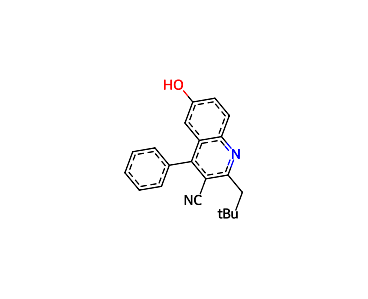 CC(C)(C)Cc1nc2ccc(O)cc2c(-c2ccccc2)c1C#N